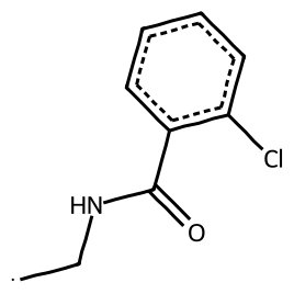 [CH2]CNC(=O)c1ccccc1Cl